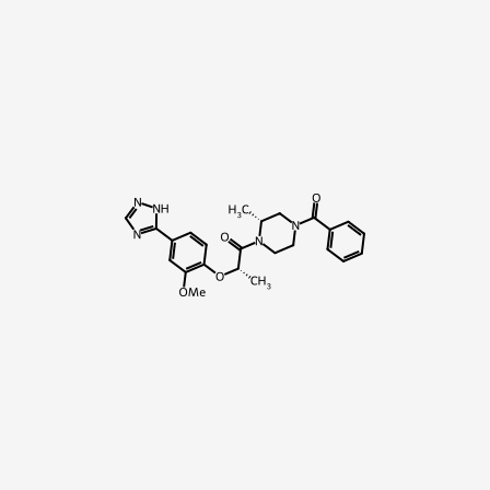 COc1cc(-c2ncn[nH]2)ccc1O[C@@H](C)C(=O)N1CCN(C(=O)c2ccccc2)C[C@H]1C